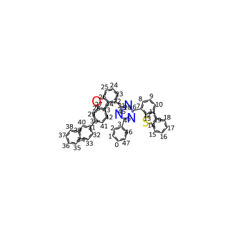 c1ccc(-c2nc(-c3cccc4c3sc3ccccc34)nc(-c3cccc4oc5cc(-c6ccc7ccccc7c6)ccc5c34)n2)cc1